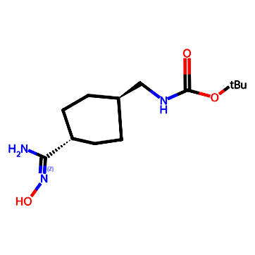 CC(C)(C)OC(=O)NC[C@H]1CC[C@H](/C(N)=N/O)CC1